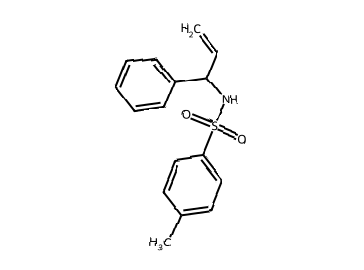 C=CC(NS(=O)(=O)c1ccc(C)cc1)c1ccccc1